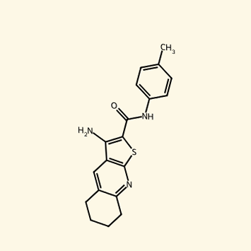 Cc1ccc(NC(=O)c2sc3nc4c(cc3c2N)CCCC4)cc1